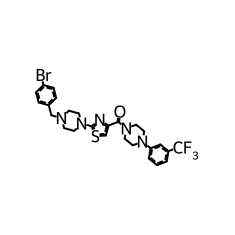 O=C(c1csc(N2CCN(Cc3ccc(Br)cc3)CC2)n1)N1CCN(c2cccc(C(F)(F)F)c2)CC1